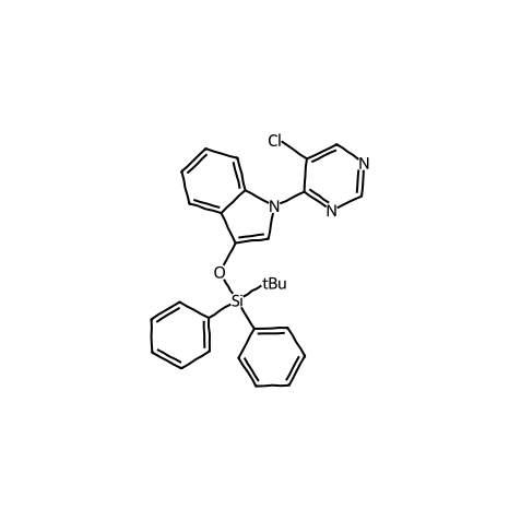 CC(C)(C)[Si](Oc1cn(-c2ncncc2Cl)c2ccccc12)(c1ccccc1)c1ccccc1